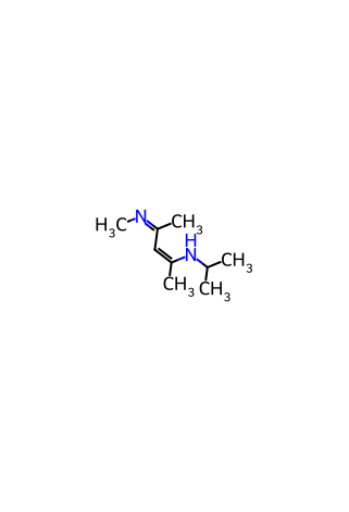 CN=C(C)C=C(C)NC(C)C